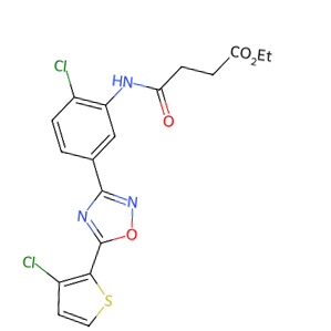 CCOC(=O)CCC(=O)Nc1cc(-c2noc(-c3sccc3Cl)n2)ccc1Cl